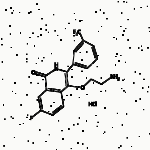 Cl.NCCOc1c(-c2cccc(C(F)(F)F)c2)[nH]c(=O)c2cc(F)ccc12